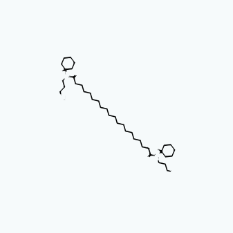 S=C(CCCCCCCCCCCCCCCCCCC(=S)N(CCCS)C1(S)CCCCC1)N(CCCS)C1(S)CCCCC1